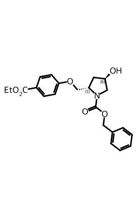 CCOC(=O)c1ccc(OC[C@@H]2C[C@@H](O)CN2C(=O)OCc2ccccc2)cc1